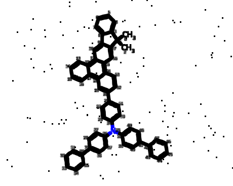 CC1(C)c2ccccc2-c2cc3c4ccccc4c4cc(-c5ccc(N(c6ccc(-c7ccccc7)cc6)c6ccc(-c7ccccc7)cc6)cc5)ccc4c3cc21